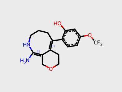 N/C1=C2\COCC\C2=C(/c2ccc(OC(F)(F)F)cc2O)CCCN1